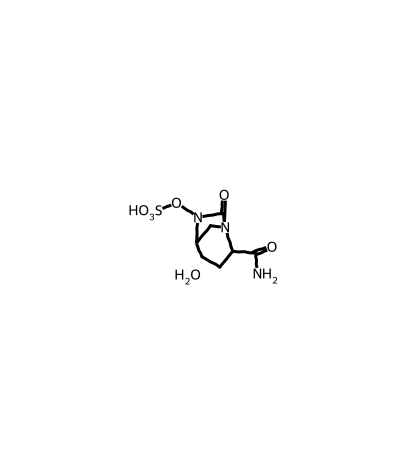 NC(=O)C1CCC2CN1C(=O)N2OS(=O)(=O)O.O